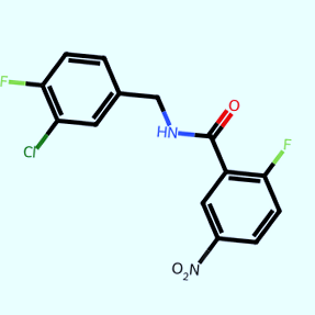 O=C(NCc1ccc(F)c(Cl)c1)c1cc([N+](=O)[O-])ccc1F